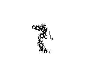 Cc1cc(SC2CC3(CCN(C(=O)OC(C)(C)C)CC3)C2)ccc1Nc1ncc(C(F)(F)F)c(C2CCC(=O)CC2)n1